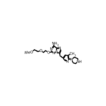 COCCOCCOc1nc(N)c2ncc(Cc3cnc(N4CCNCC4)c(C)c3)n2n1